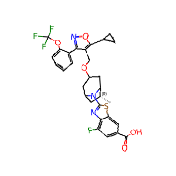 C[C@@H]1CC2CC(OCc3c(-c4ccccc4OC(F)(F)F)noc3C3CC3)CC1N2c1nc2c(F)cc(C(=O)O)cc2s1